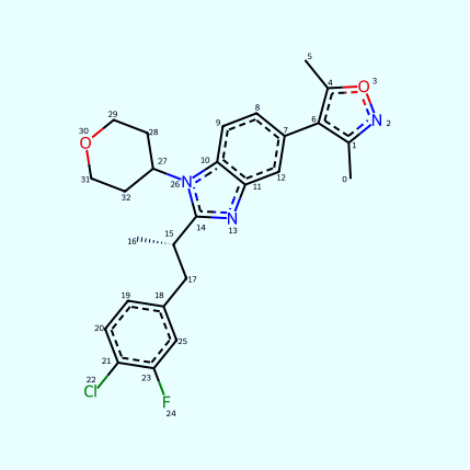 Cc1noc(C)c1-c1ccc2c(c1)nc([C@@H](C)Cc1ccc(Cl)c(F)c1)n2C1CCOCC1